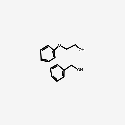 OCCOc1ccccc1.OCc1ccccc1